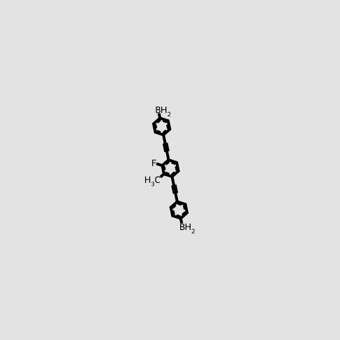 Bc1ccc(C#Cc2ccc(C#Cc3ccc(B)cc3)c(F)c2C)cc1